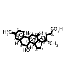 C=C1CC[C@@]2(C)[C@@H](C1)C[C@H](O)[C@@H]1[C@@H]2CC(=O)[C@]2(C)[C@@H]([C@H](C)CCC(=O)O)CC[C@@H]12